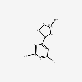 Fc1cc(F)cc(N2CC[C@@H](F)C2)c1